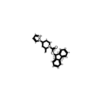 CC1CC(n2cccn2)CCN1C(=O)OC1c2ccccc2-c2ccccc21